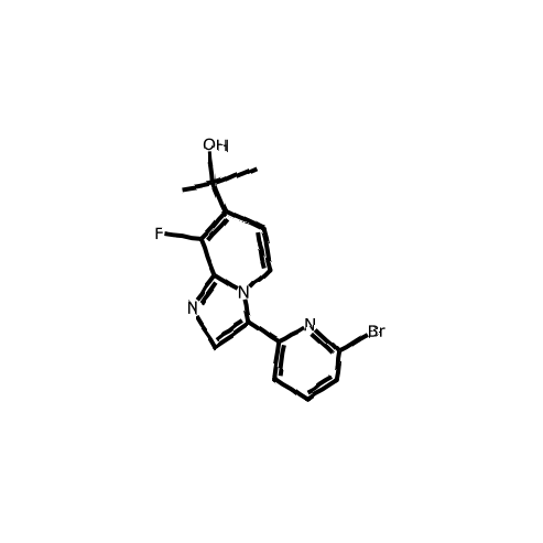 CC(C)(O)c1ccn2c(-c3cccc(Br)n3)cnc2c1F